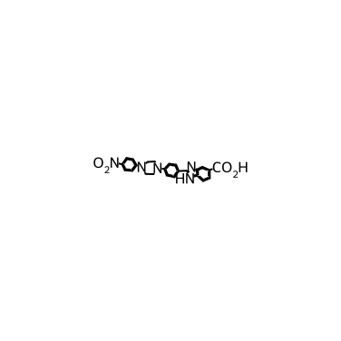 O=C(O)c1ccc2[nH]c(-c3ccc(N4CCN(c5ccc([N+](=O)[O-])cc5)CC4)cc3)nc2c1